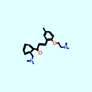 Cc1ccc(OCCN(C)C)c(C=CC(=O)c2ccccc2CN(C)C)c1